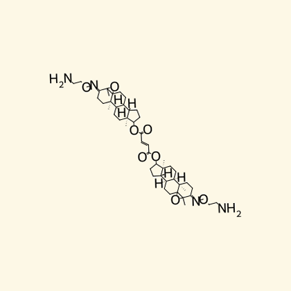 CC12OC13CC[C@@H]1[C@@H](CC[C@]4(C)C(OC(=O)/C=C/C(=O)OC5CC[C@H]6[C@@H]7CCC89OC8(C)/C(=N/OCCN)CC[C@]9(C)[C@@H]7CC[C@]56C)CC[C@@H]14)[C@@]3(C)CC/C2=N\OCCN